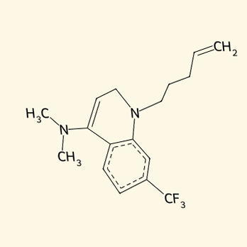 C=CCCCN1CC=C(N(C)C)c2ccc(C(F)(F)F)cc21